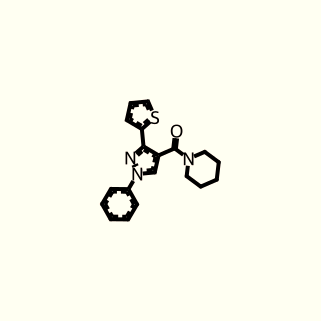 O=C(c1cn(-c2ccccc2)nc1-c1cccs1)N1CCCCC1